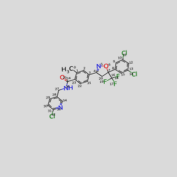 Cc1cc(C2=NOC(c3cc(Cl)cc(Cl)c3)(C(F)(F)F)C2)ccc1C(=O)NCc1ccc(Cl)nc1